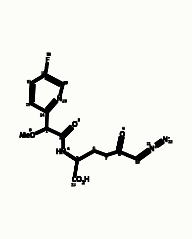 COC(C(=O)NC(CCC(=O)C=[N+]=[N-])C(=O)O)c1ccc(F)cn1